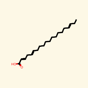 CCC=CCCCCCCCCCCC=CCC=CC(=O)O